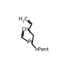 C=CC(C)C.C=CCCCCCCCC